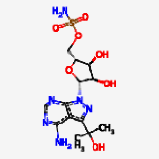 CC(C)(O)c1nn([C@@H]2O[C@H](COS(N)(=O)=O)[C@@H](O)[C@H]2O)c2ncnc(N)c12